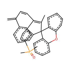 C=C(/C=C\C1=C(C)C2(c3ccccc3Oc3ccccc32)c2ccccc21)c1ccc(P(C)(C)=O)cc1